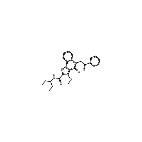 CCC(CC)NC(=O)c1sc2c(c1OC)c(=O)n(CC(=O)c1ccccc1)c1ccccc21